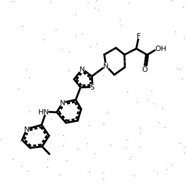 Cc1ccnc(Nc2cccc(-c3cnc(N4CCC(C(F)C(=O)O)CC4)s3)n2)c1